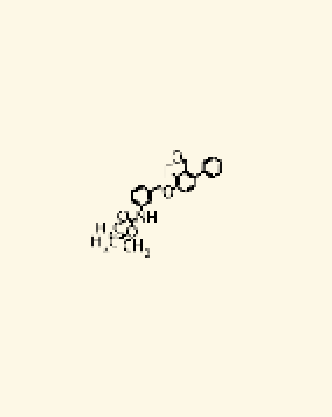 CC(C)(C)OC(=O)Nc1cccc(COc2ccc(-c3ccccc3)c(C=O)c2F)c1